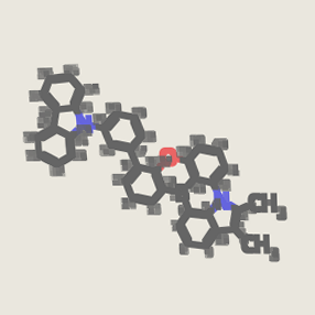 Cc1c(C)n2c3c(cccc13)B1c3cccc(-c4cccc(-n5c6ccccc6c6ccccc65)c4)c3Oc3cccc-2c31